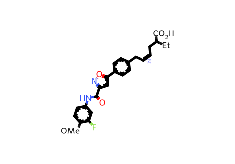 CCC(C/C=C\Cc1ccc(-c2cc(C(=O)Nc3ccc(OC)c(F)c3)no2)cc1)C(=O)O